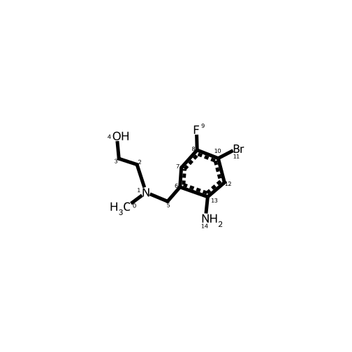 CN(CCO)Cc1cc(F)c(Br)cc1N